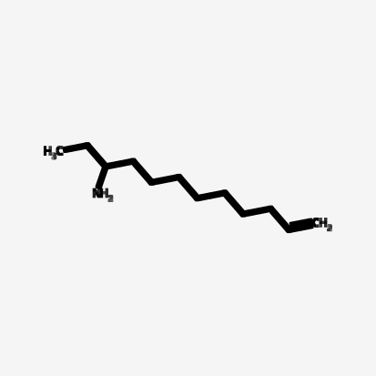 C=CCCCCCCCC(N)CC